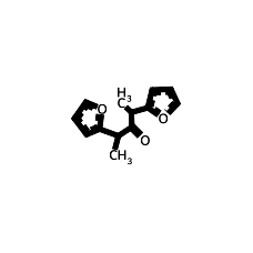 CC(C(=O)C(C)c1ccco1)c1ccco1